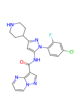 O=C(Nc1cc(C2CCNCC2)nn1-c1ccc(Cl)cc1F)c1cnn2cccnc12